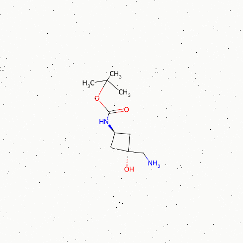 CC(C)(C)OC(=O)N[C@H]1C[C@@](O)(CN)C1